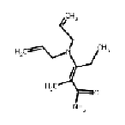 C=CCN(CC=C)/C(CC)=C(\C)C(N)=O